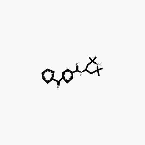 CC1(C)CC(NC(=O)c2ccc(C(=O)c3ccccc3)cc2)CC(C)(C)N1